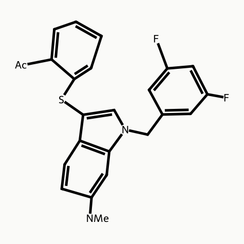 CNc1ccc2c(Sc3ccccc3C(C)=O)cn(Cc3cc(F)cc(F)c3)c2c1